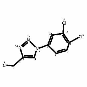 ClCc1cn(-c2ccc(Cl)c(Cl)c2)nn1